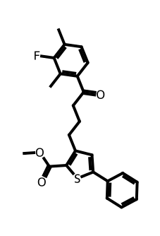 COC(=O)c1sc(-c2ccccc2)cc1CCCC(=O)c1ccc(C)c(F)c1C